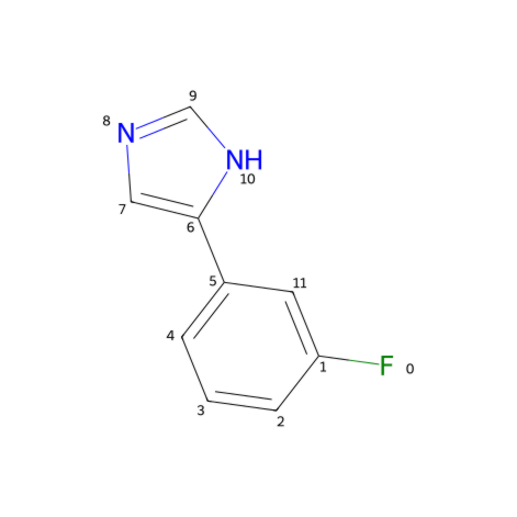 Fc1cccc(-c2cnc[nH]2)c1